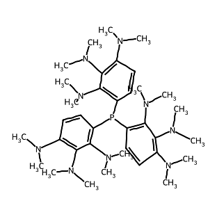 CN(C)c1ccc(P(c2ccc(N(C)C)c(N(C)C)c2N(C)C)c2ccc(N(C)C)c(N(C)C)c2N(C)C)c(N(C)C)c1N(C)C